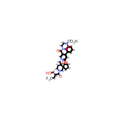 O=C(O)N1CCN(C(=O)c2cn(C[C@]3(O)CCN(C(=O)[C@H](CO)CC(F)(F)F)CC34CCCC4)c(=O)cc2-c2ccccc2)CC1